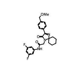 COCc1ccc(C2=NC3(CCCCC3)N(CC(=O)Nc3cc(F)cc(F)c3)C2=O)cc1